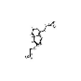 c1cc(CCC2CO2)c2ccc(OCC3CO3)cc2c1